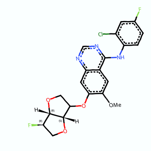 COc1cc2c(Nc3ccc(F)cc3Cl)ncnc2cc1OC1CO[C@H]2[C@H](F)CO[C@@H]12